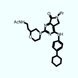 CC(=O)NCCC1CN(c2nc(Nc3ccc(C4CCCCC4)cc3)c3c(n2)C(=O)N(C(C)C)C3)CCO1